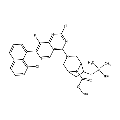 CC(C)(C)OC(=O)N1C2CC(O[Si](C)(C)C(C)(C)C)C1CN(c1nc(Cl)nc3c(F)c(-c4cccc5cccc(Cl)c45)ncc13)C2